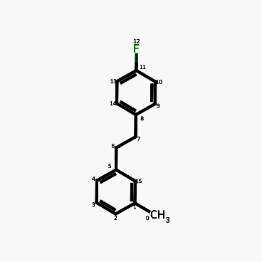 Cc1cccc([CH]Cc2ccc(F)cc2)c1